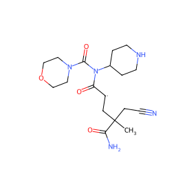 CC(CC#N)(C[CH]C(=O)N(C(=O)N1CCOCC1)C1CCNCC1)C(N)=O